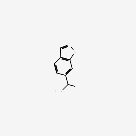 CCCCCCC(C)c1ccc2cn[nH]c2c1